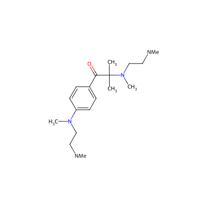 CNCCN(C)c1ccc(C(=O)C(C)(C)N(C)CCNC)cc1